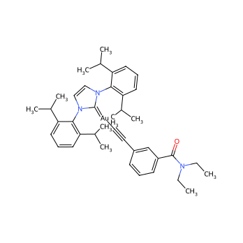 CCN(CC)C(=O)c1cccc(C#[C][Au]=[c]2n(-c3c(C(C)C)cccc3C(C)C)ccn2-c2c(C(C)C)cccc2C(C)C)c1